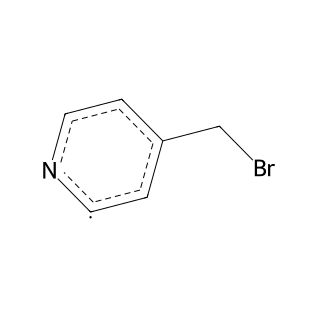 BrCc1c[c]ncc1